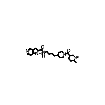 CC1CCC(C(=O)N2CCC(CCCCNC(=O)C3Cc4cnccc4N3)CC2)CN1C